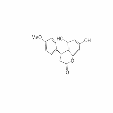 COc1ccc([C@@H]2CC(=O)Oc3cc(O)cc(O)c32)cc1